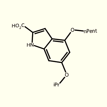 CCCCCOc1cc(OC(C)C)cc2[nH]c(C(=O)O)cc12